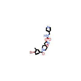 Cc1cc(C(=O)N2CCC3(CC2)CC(OC(=O)NCc2ccncc2)=NO3)ccc1Br